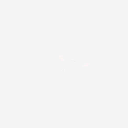 Cc1cccc(N2C(=O)N(Cc3c(F)cccc3Cl)c3ccccc3[S+]2[O-])c1C